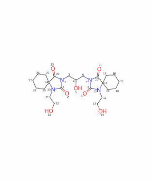 O=C1N(CC(O)CN2C(=O)N(CCO)C3(CCCCC3)C2=O)C(=O)C2(CCCCC2)N1CCO